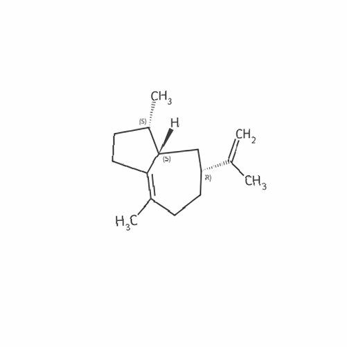 C=C(C)[C@@H]1CCC(C)=C2CC[C@H](C)[C@@H]2C1